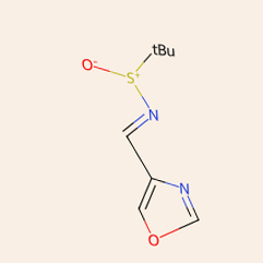 CC(C)(C)[S+]([O-])/N=C/c1cocn1